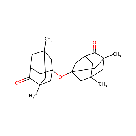 CC12CC3CC(OC45CC6CC(C)(C4)CC(C)(C5)C6=O)(C1)CC(C)(C2)C3=O